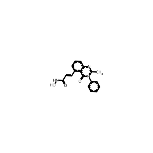 Cc1nc2cccc(C=CC(=O)NO)c2c(=O)n1-c1ccccc1